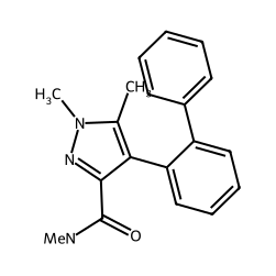 CNC(=O)c1nn(C)c(C)c1-c1ccccc1-c1ccccc1